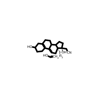 C=CO.C[C@]12CC=C3C4=C(CCC3C1CC[C@@]2(O)CC#N)CC(O)CC4